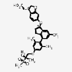 Cc1cc(OCC(C)(C)S(C)(=O)=O)cc(C)c1-c1cc(C(F)(F)F)cc2c1CC[C@H]2Oc1ccc2c(c1)OC[C@H]2CC(=O)O